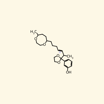 CC1CCC(CCC/C=C/C(C)C2(c3cccc(O)c3)OCCO2)OCCO1